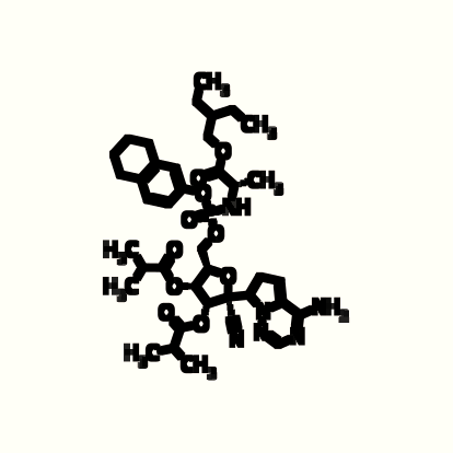 CCC(CC)COC(=O)[C@H](C)NP(=O)(OC[C@H]1O[C@@](C#N)(C2CC=C3C(N)=NC=NN32)[C@H](OC(=O)C(C)C)[C@@H]1OC(=O)C(C)C)Oc1ccc2c(c1)CCCC2